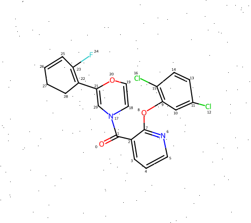 O=C(c1cccnc1Oc1cc(Cl)ccc1Cl)N1C=COC(C2=C(F)C=CCC2)=C1